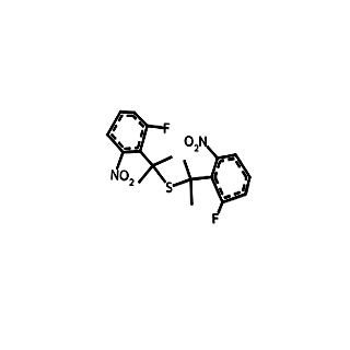 CC(C)(SC(C)(C)c1c(F)cccc1[N+](=O)[O-])c1c(F)cccc1[N+](=O)[O-]